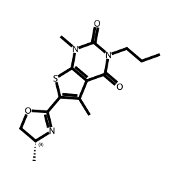 CCCn1c(=O)c2c(C)c(C3=N[C@H](C)CO3)sc2n(C)c1=O